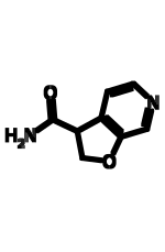 NC(=O)C1COc2cnccc21